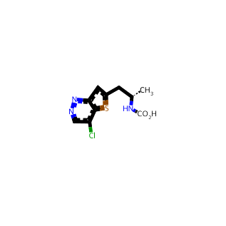 C[C@@H](Cc1cc2nncc(Cl)c2s1)NC(=O)O